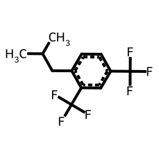 CC(C)Cc1ccc(C(F)(F)F)cc1C(F)(F)F